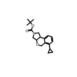 CC(C)(C)OC(=O)N1CC2OCc3c(C4CC4)cccc3C2C1